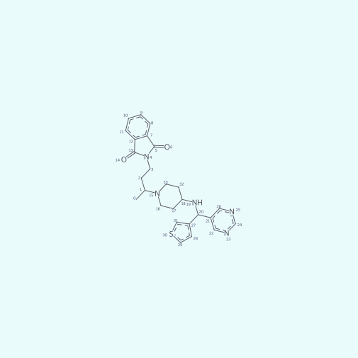 CC(CCN1C(=O)c2ccccc2C1=O)N1CCC(NC(c2cncnc2)c2ccsc2)CC1